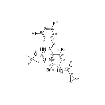 CC(C)(C)OC(=O)N[C@@H](Cc1cc(F)cc(F)c1)c1nc(Br)c(NC(=O)C2CC2)cc1Br